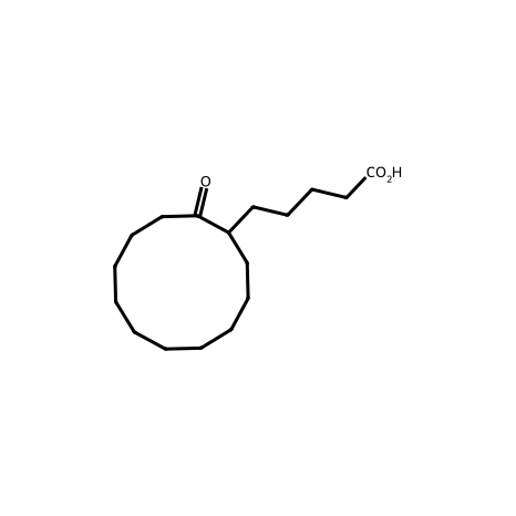 O=C(O)CCCCC1CCCCCCCCCCC1=O